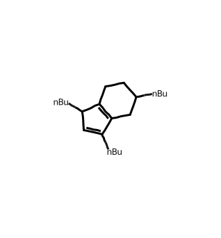 CCCCC1=CC(CCCC)C2=C1CC(CCCC)CC2